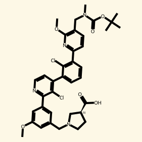 COc1cc(CN2CC[C@H](C(=O)O)C2)cc(-c2nccc(-c3cccc(-c4ccc(CN(C)C(=O)OC(C)(C)C)c(OC)n4)c3Cl)c2Cl)c1